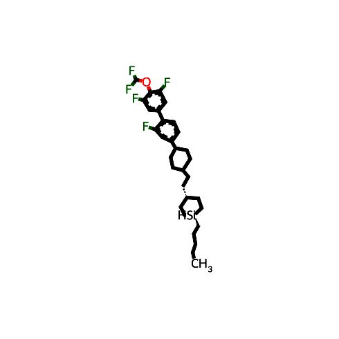 CCCCC[Si@H]1CC[C@H](CCC2CCC(c3ccc(-c4cc(F)c(OC(F)F)c(F)c4)c(F)c3)CC2)CC1